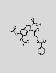 CC(=O)Oc1cc2c(cc1OC(C)=O)N(C(=O)CCSC(=O)c1ccccc1)[C@H](C(=O)O)C2